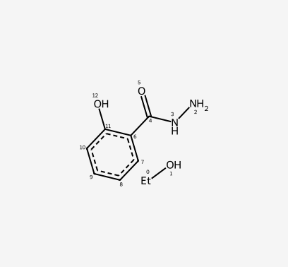 CCO.NNC(=O)c1ccccc1O